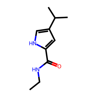 CCNC(=O)c1cc(C(C)C)c[nH]1